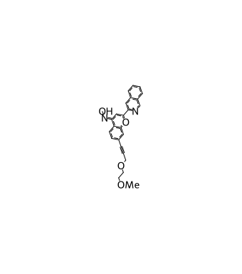 COCCOCC#Cc1ccc2/c(=N/O)cc(-c3cc4ccccc4cn3)oc2c1